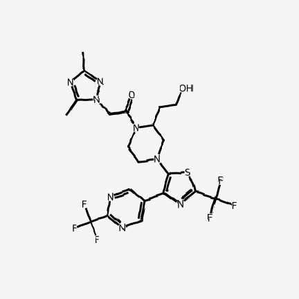 Cc1nc(C)n(CC(=O)N2CCN(c3sc(C(F)(F)F)nc3-c3cnc(C(F)(F)F)nc3)CC2CCO)n1